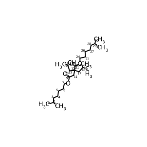 CC(C)CCCCCOC(=O)CC(CC(C)C)(CC(C)C)C(=O)OCCCCCC(C)C